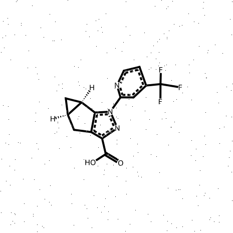 O=C(O)c1nn(-c2cc(C(F)(F)F)ccn2)c2c1C[C@H]1C[C@@H]21